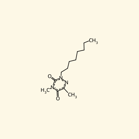 CCCCCCCCn1nc(C)c(=O)n(C)c1=O